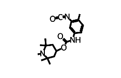 Cc1ccc(NC(=O)OC2CC(C)(C)N(C)C(C)(C)C2)cc1N=C=O